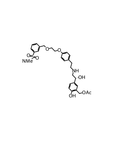 CNS(=O)(=O)c1cccc(COCCOc2ccc(CCNC[C@H](O)c3ccc(O)c(COC(C)=O)c3)cc2)c1